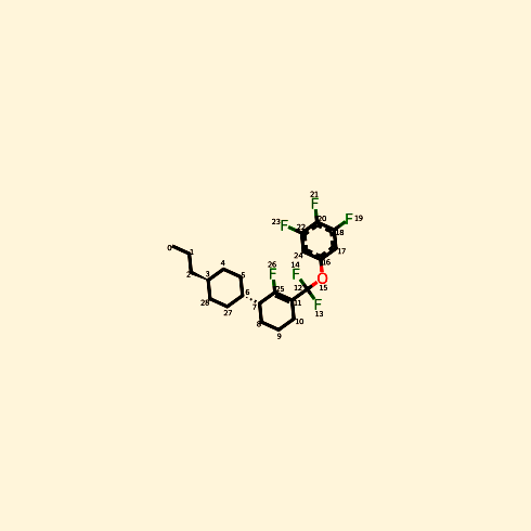 CCC[C@H]1CC[C@H](C2CCCC(C(F)(F)Oc3cc(F)c(F)c(F)c3)=C2F)CC1